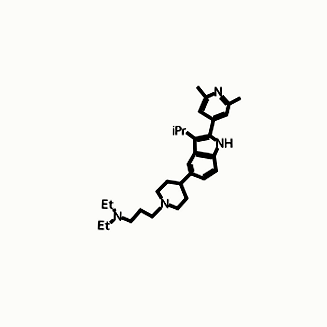 CCN(CC)CCCN1CCC(c2ccc3[nH]c(-c4cc(C)nc(C)c4)c(C(C)C)c3c2)CC1